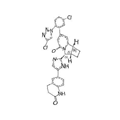 O=C1CCc2cc(-c3cnc([C@@H]4[C@H]5CC[C@H]5c5cc(-c6cc(Cl)ccc6-n6cc(Cl)nn6)cc(=O)n54)[nH]3)ccc2N1